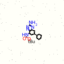 CC(C)(C)OC(=O)Nc1cc(-c2ccccc2)cc2nc(N)nnc12